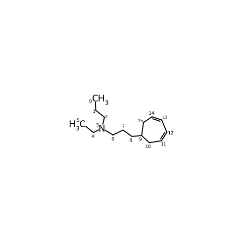 CCCN(CC)CCCC1CC=CC=CC1